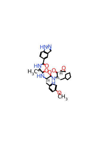 COc1ccc(C[C@H](NC(=O)[C@@H](C)NC(=O)c2ccc3[nH]ncc3c2)C(=O)N[C@@H](CC2CCCC2)C(=O)[C@H]2CO2)cc1